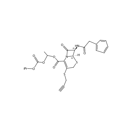 C#CCSC1=C(C(=O)OC(C)OC(=O)OC(C)C)N2C(=O)[C@@H](NC(=O)Cc3ccccc3)[C@H]2SC1